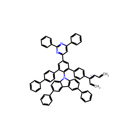 C=C/C=C(\C=C)c1ccc(-c2cc(-c3cc(-c4ccccc4)nc(-c4ccccc4)n3)cc(-c3ccc(-c4ccccc4)cc3)c2-n2c3ccc(-c4ccccc4)cc3c3cc(-c4ccccc4)ccc32)cc1